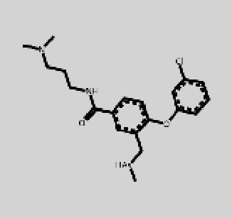 C[AsH]Cc1cc(C(=O)NCCCN(C)C)ccc1Oc1cccc(Cl)c1